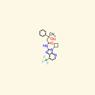 CC(O)(CC(=O)Nc1nc2c(C(F)(F)F)ccnc2n1C1CCC1)c1ccccc1